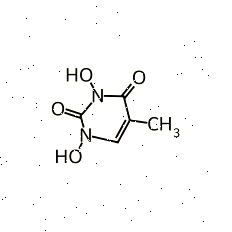 Cc1cn(O)c(=O)n(O)c1=O